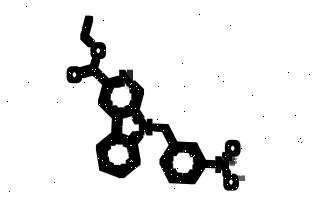 CCOC(=O)c1cc2c3ccccc3n(Cc3cccc([N+](=O)[O-])c3)c2cn1